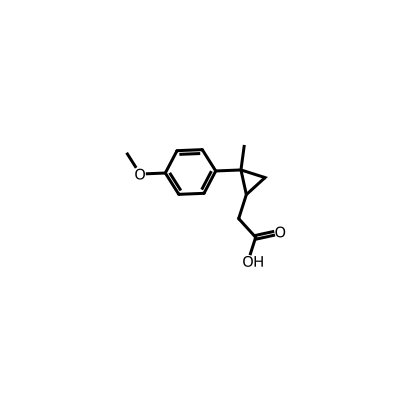 COc1ccc(C2(C)CC2CC(=O)O)cc1